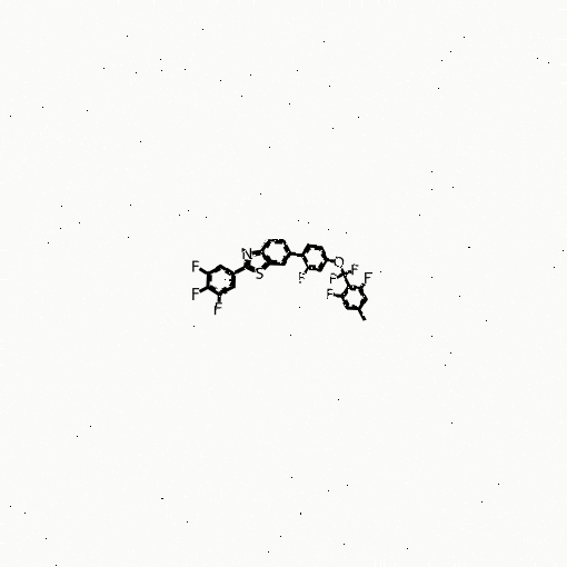 Cc1cc(F)c(C(F)(F)Oc2ccc(-c3ccc4nc(-c5cc(F)c(F)c(F)c5)sc4c3)c(F)c2)c(F)c1